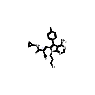 Cc1ccc(-c2c(/C=C(\C#N)C(=O)NC3CC3)n(CCCO)c3ncnc(N)c23)cc1